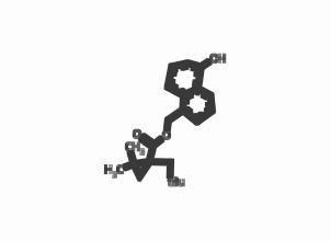 CC(C)(C)CC1(C(=O)OCc2cccc3c(O)cccc23)CC1(C)C